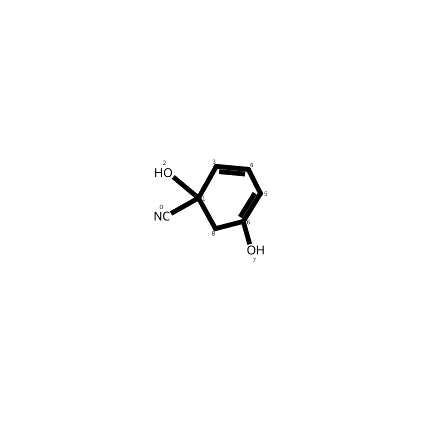 N#CC1(O)C=CC=C(O)C1